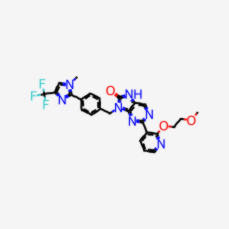 COCCOc1ncccc1-c1ncc2[nH]c(=O)n(Cc3ccc(-c4nc(C(F)(F)F)cn4C)cc3)c2n1